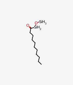 CCCCCCCCCCC(=O)[SiH2]O[SiH3]